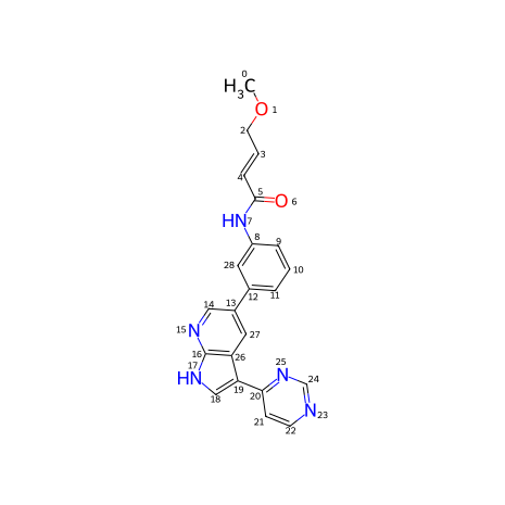 COCC=CC(=O)Nc1cccc(-c2cnc3[nH]cc(-c4ccncn4)c3c2)c1